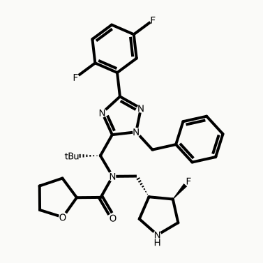 CC(C)(C)[C@H](c1nc(-c2cc(F)ccc2F)nn1Cc1ccccc1)N(C[C@H]1CNC[C@@H]1F)C(=O)C1CCCO1